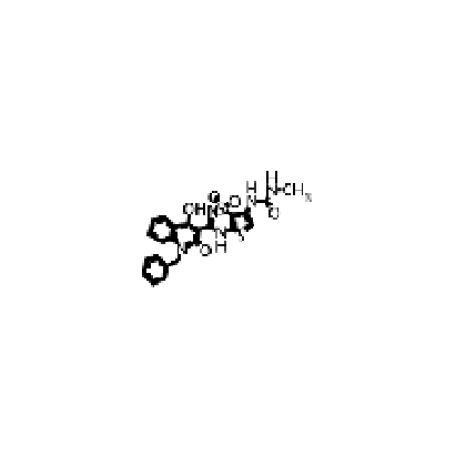 CNC(=O)Nc1csc2c1S(=O)(=O)N=C(c1c(O)c3ccccc3n(Cc3ccccc3)c1=O)N2